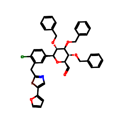 O=C[C@H]1O[C@@H](c2ccc(Cl)c(Cc3ncc(-c4ccco4)s3)c2)[C@H](OCc2ccccc2)[C@@H](OCc2ccccc2)[C@@H]1OCc1ccccc1